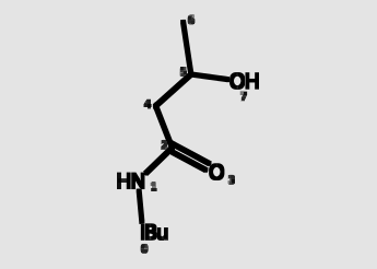 CCC(C)NC(=O)CC(C)O